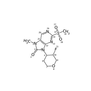 Cn1c(=O)n(C2CCOCC2F)c2nc(S(C)(=O)=O)ncc21